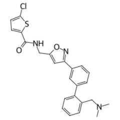 CN(C)Cc1ccccc1-c1cccc(-c2cc(CNC(=O)c3ccc(Cl)s3)on2)c1